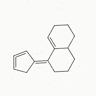 C1=CCC(=C2CCCC3CCCC=C23)C=1